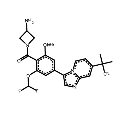 COc1cc(-c2cnc3cc(C(C)(C)C#N)ccn23)cc(OC(F)F)c1C(=O)N1CC(N)C1